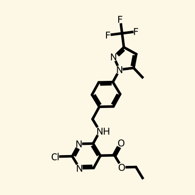 CCOC(=O)c1cnc(Cl)nc1NCc1ccc(-n2nc(C(F)(F)F)cc2C)cc1